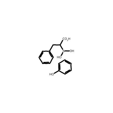 O=C(O)C(Cc1ccccc1)N(O)O.Oc1ccccc1